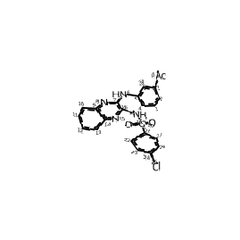 CC(=O)c1cccc(Nc2nc3ccccc3nc2NS(=O)(=O)c2ccc(Cl)cc2)c1